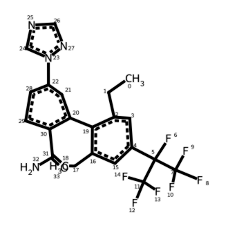 CCc1cc(C(F)(C(F)(F)F)C(F)(F)F)cc(CC)c1-c1cc(-n2cncn2)ccc1C(N)=O